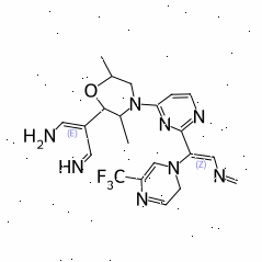 C=N/C=C(/c1nccc(N2CC(C)OC(/C(C=N)=C/N)C2C)n1)N1C=C(C(F)(F)F)N=CC1